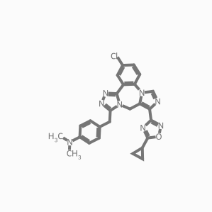 CN(C)c1ccc(Cc2nnc3n2Cc2c(-c4noc(C5CC5)n4)ncn2-c2ccc(Cl)cc2-3)cc1